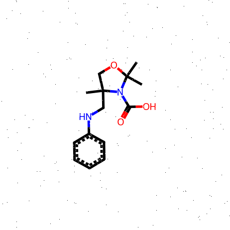 CC1(CNc2ccccc2)COC(C)(C)N1C(=O)O